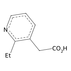 CCc1ncccc1CC(=O)O